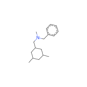 CC1CC(C)CC(CN(C)Cc2ccccc2)C1